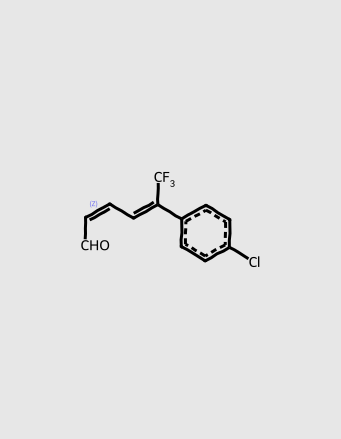 O=C/C=C\C=C(c1ccc(Cl)cc1)C(F)(F)F